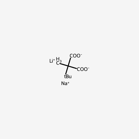 CC(C)(C)C(C)(C(=O)[O-])C(=O)[O-].[Li+].[Na+]